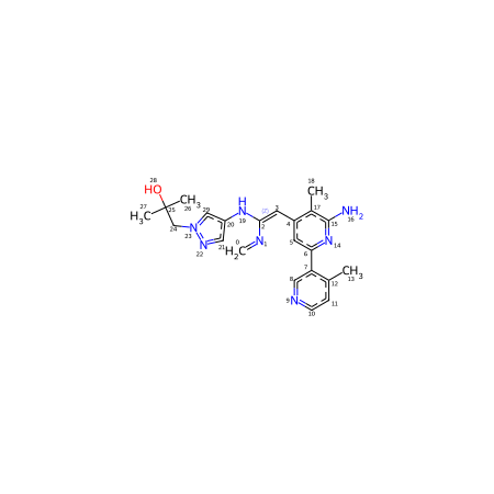 C=N/C(=C\c1cc(-c2cnccc2C)nc(N)c1C)Nc1cnn(CC(C)(C)O)c1